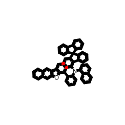 c1ccc(N(c2cccc3c2-c2ccccc2C32c3ccccc3-c3ccccc32)c2cccc3ccccc23)c(-c2cccc3c2oc2cc4ccccc4cc23)c1